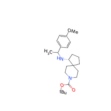 COc1ccc(C(C)N[C@@H]2CCCC23CCN(C(=O)OC(C)(C)C)CC3)cc1